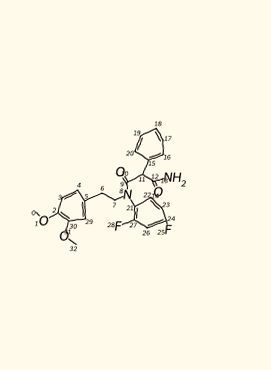 COc1ccc(CCN(C(=O)C(C(N)=O)c2ccccc2)c2ccc(F)cc2F)cc1OC